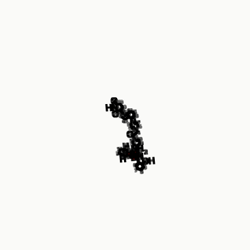 Nc1nnc(-c2ccccc2O)cc1N1C[C@H]2CC[C@@H](C1)N2c1cccc(CC2CCN(C(=O)CN3CCN(c4cccc5c4CCN5[C@@H]4CCC(=O)NC4=O)CC3)CC2)c1